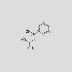 CC(O)CN(N=O)c1ccccc1